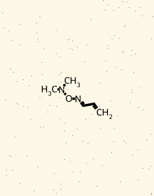 C=C/C=N/ON(C)C